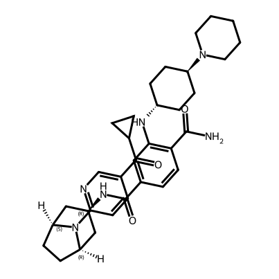 NC(=O)c1ccc(C(=O)N[C@H]2C[C@H]3CC[C@@H](C2)N3c2ccc(C(=O)C3CC3)cn2)cc1N[C@H]1CC[C@H](N2CCCCC2)CC1